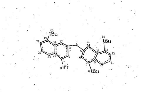 CC(C)c1cc(Cc2cc(C(C)(C)C)c3cccc(C(C)(C)C)c3n2)cc2c(C(C)(C)C)cccc12